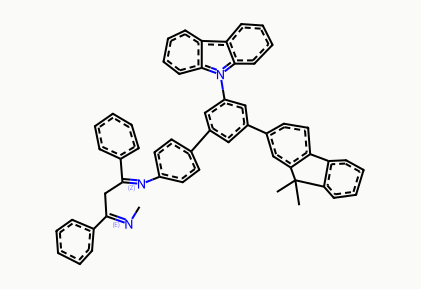 C/N=C(\C/C(=N/c1ccc(-c2cc(-c3ccc4c(c3)C(C)(C)c3ccccc3-4)cc(-n3c4ccccc4c4ccccc43)c2)cc1)c1ccccc1)c1ccccc1